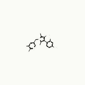 CCOC(=O)c1cc(Cn2c(C)c(C#N)c(-c3ccc(C#N)cc3F)c2C)cnc1Cl